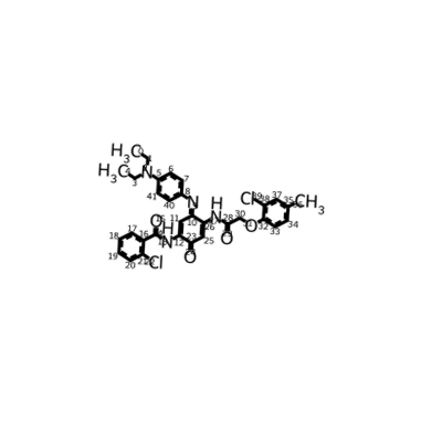 CCN(CC)c1ccc(N=C2C=C(NC(=O)c3ccccc3Cl)C(=O)C=C2NC(=O)COc2ccc(C)cc2Cl)cc1